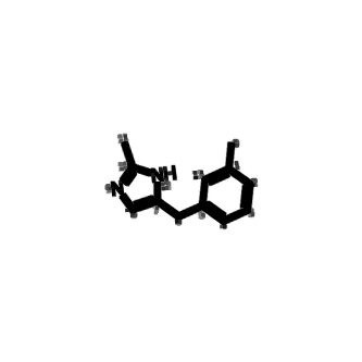 Cc1cccc(Cc2[c]nc(C)[nH]2)c1